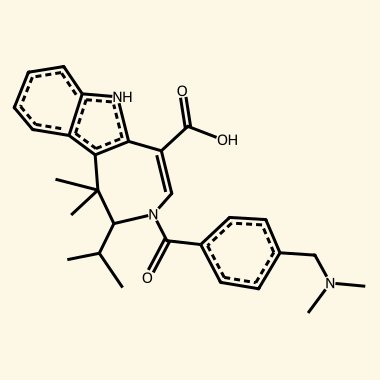 CC(C)C1N(C(=O)c2ccc(CN(C)C)cc2)C=C(C(=O)O)c2[nH]c3ccccc3c2C1(C)C